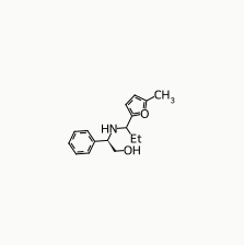 CCC(N[C@@H](CO)c1ccccc1)c1ccc(C)o1